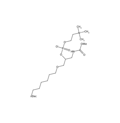 CCCCCCCCCCCCCCCCOCC(CNC(=O)OC)OP(=O)([O-])OCC[N+](C)(C)C